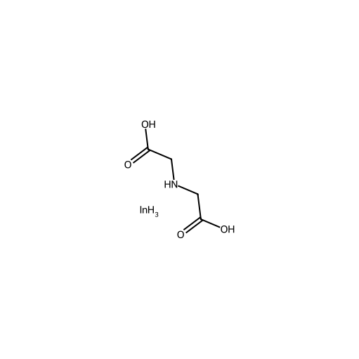 O=C(O)CNCC(=O)O.[InH3]